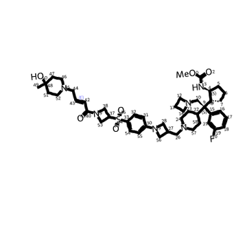 COC(=O)N[C@H]1CCC[C@@H]1[C@](CN1CCC1)(c1cccc(F)c1)C1CCN(CC2CN(c3ccc(S(=O)(=O)C4CN(C(=O)/C=C/CN5CCC(C)(O)CC5)C4)cc3)C2)CC1